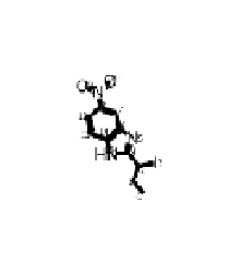 CCC(I)c1nc2cc([N+](=O)[O-])ccc2[nH]1